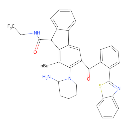 CCCCc1c2c(cc(C(=O)c3ccccc3-c3nc4ccccc4s3)c1N1CCCCC1N)-c1ccccc1C2C(=O)NCC(F)(F)F